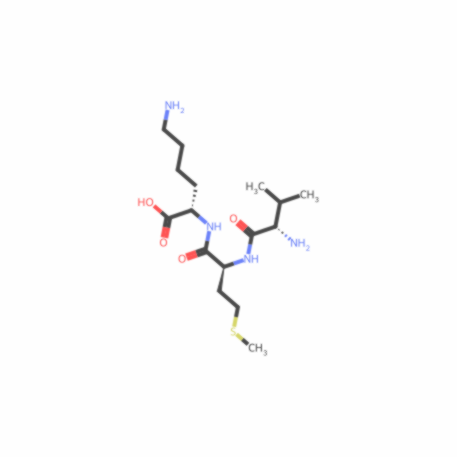 CSCC[C@H](NC(=O)[C@@H](N)C(C)C)C(=O)N[C@@H](CCCCN)C(=O)O